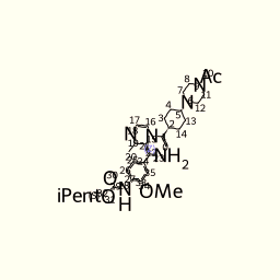 C=C([C@H]1CC[C@H](N2CCN(C(C)=O)CC2)CC1)N1C=CN=C(C)/C1=C(/N)c1ccc(NC(=O)O[C@@H](C)CCC)c(OC)c1